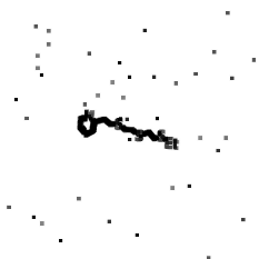 CCSCCSCCSCCc1ccccn1